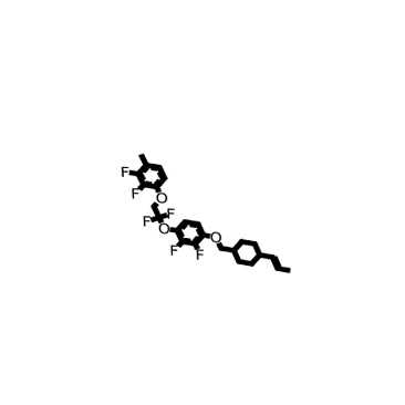 C/C=C/C1CCC(COc2ccc(OC(F)(F)COc3ccc(C)c(F)c3F)c(F)c2F)CC1